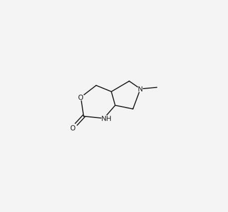 CN1CC2COC(=O)NC2C1